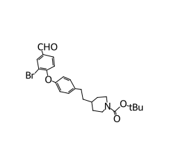 CC(C)(C)OC(=O)N1CCC(CCc2ccc(Oc3ccc(C=O)cc3Br)cc2)CC1